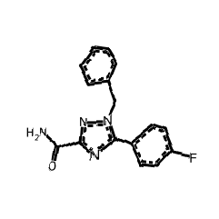 NC(=O)c1nc(-c2ccc(F)cc2)n(Cc2ccccc2)n1